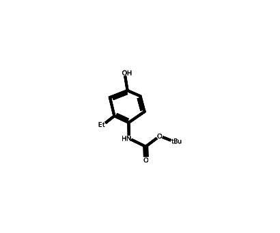 CCc1cc(O)ccc1NC(=O)OC(C)(C)C